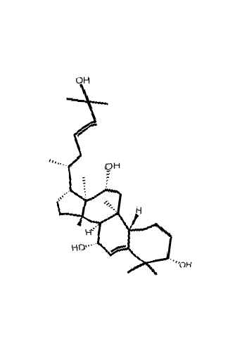 C[C@H](C/C=C/C(C)(C)O)[C@H]1CC[C@@]2(C)[C@@H]3[C@@H](O)C=C4[C@@H](CC[C@H](O)C4(C)C)[C@]3(C)C[C@@H](O)[C@]12C